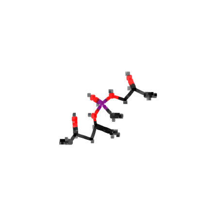 C=C(CC(=O)OC)OP(=O)(OC)OCC(=O)OC